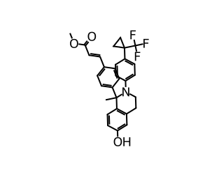 COC(=O)/C=C/c1ccc(C2(C)c3ccc(O)cc3CCN2c2ccc(C3(C(F)(F)F)CC3)cc2)cc1